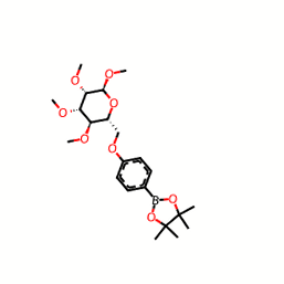 CO[C@H]1O[C@H](COc2ccc(B3OC(C)(C)C(C)(C)O3)cc2)[C@@H](OC)[C@H](OC)[C@@H]1OC